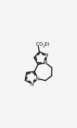 CCOC(=O)c1cc2n(n1)CCCn1nccc1-2